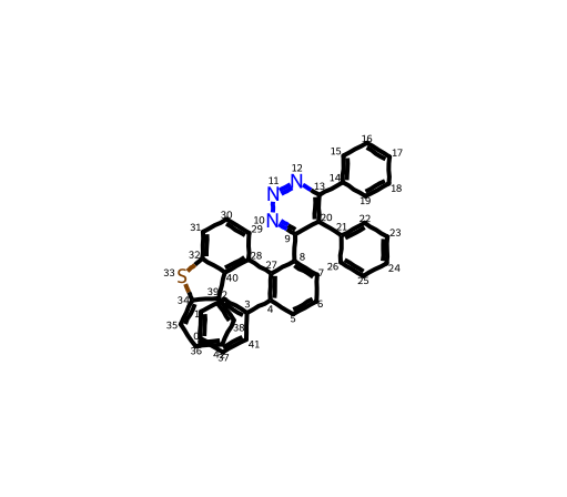 c1ccc(-c2cccc(-c3nnnc(-c4ccccc4)c3-c3ccccc3)c2-c2cccc3sc4ccccc4c23)cc1